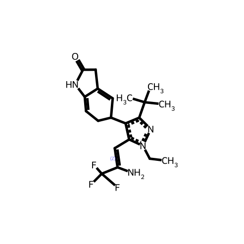 CCn1nc(C(C)(C)C)c(C2C=C3CC(=O)NC3=CC2)c1/C=C(\N)C(F)(F)F